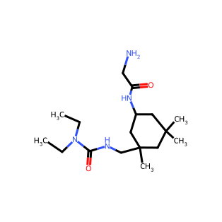 CCN(CC)C(=O)NCC1(C)CC(NC(=O)CN)CC(C)(C)C1